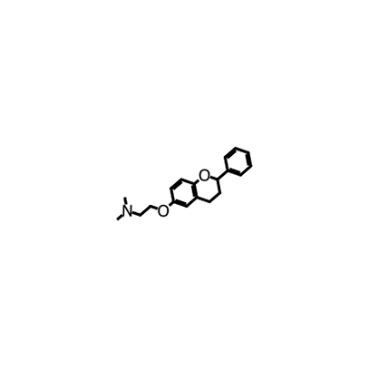 CN(C)CCOc1ccc2c(c1)CCC(c1ccccc1)O2